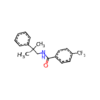 CC(C)(CNC(=O)c1ccc(C(F)(F)F)cc1)c1ccccc1